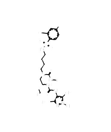 Cc1nn(C)c(C)c1NC(=O)N[C@H](CC(C)C)CN(CCCCNS(=O)(=O)c1ccc(Cl)cc1Cl)C(=O)NC(C)C